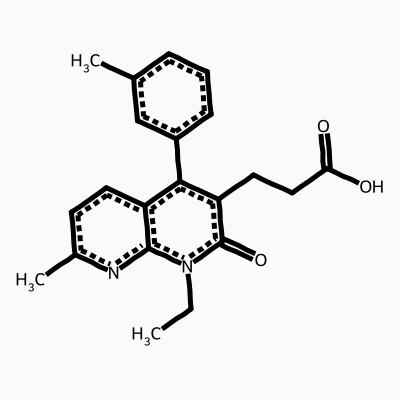 CCn1c(=O)c(CCC(=O)O)c(-c2cccc(C)c2)c2ccc(C)nc21